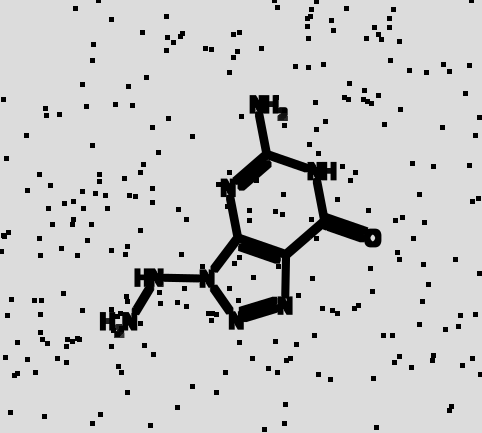 NNn1nnc2c(=O)[nH]c(N)nc21